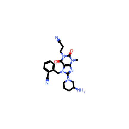 Cn1c(=O)n(CCC#N)c(=O)c2c1nc(N1CCCC(N)C1)n2Cc1ccccc1C#N